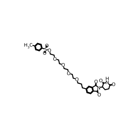 Cc1ccc(S(=O)(=O)OCCOCCOCCOCCOCCCc2ccc3c(c2)C(=O)N(C2CCC(=O)NC2=O)C3=O)cc1